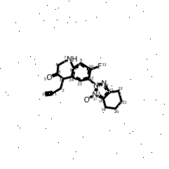 C#CCC1C(=O)CNc2cc(F)c(-n3nc4c([n+]3[O-])CCCC4)cc21